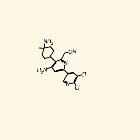 CC1(N)CCC(c2c(N)cc(-c3cnc(Cl)c(Cl)c3)nc2CO)CC1